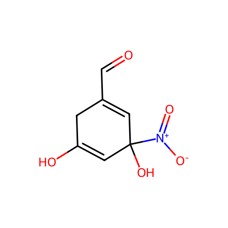 O=CC1=CC(O)([N+](=O)[O-])C=C(O)C1